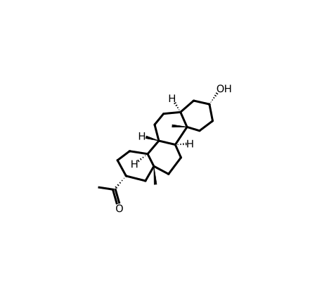 CC(=O)[C@@H]1CC[C@H]2[C@@H]3CC[C@H]4C[C@H](O)CC[C@]4(C)[C@H]3CC[C@]2(C)C1